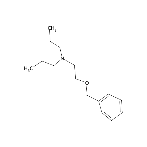 CCCN(CCC)CCOCc1ccccc1